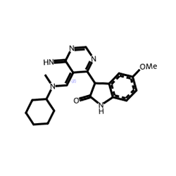 COc1ccc2c(c1)C(C1=NC=NC(=N)/C1=C\N(C)C1CCCCC1)C(=O)N2